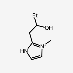 CCC(O)Cc1[nH]cc[n+]1C